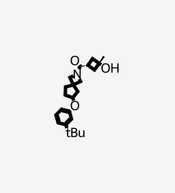 CC(C)(C)c1cccc(OC2CCC3(C2)CN(C(=O)[C@H]2C[C@@](C)(O)C2)C3)c1